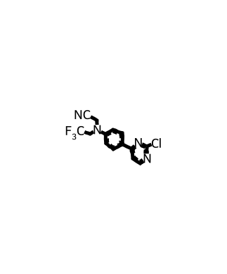 N#CCN(CC(F)(F)F)c1ccc(-c2ccnc(Cl)n2)cc1